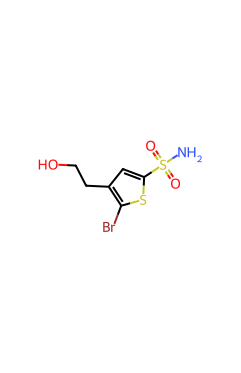 NS(=O)(=O)c1cc(CCO)c(Br)s1